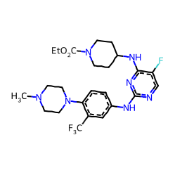 CCOC(=O)N1CCC(Nc2nc(Nc3ccc(N4CCN(C)CC4)c(C(F)(F)F)c3)ncc2F)CC1